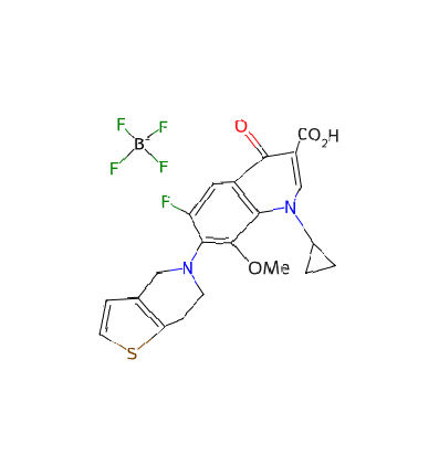 COc1c(N2CCc3sccc3C2)c(F)cc2c(=O)c(C(=O)O)cn(C3CC3)c12.F[B-](F)(F)F